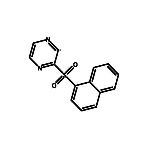 O=S(=O)(c1[c]nccn1)c1cccc2ccccc12